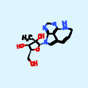 C[C@@]1(O)[C@H](O)[C@@H](CO)O[C@H]1n1cc2c3c(ncnc31)NCC=C2